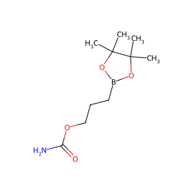 CC1(C)OB(CCCOC(N)=O)OC1(C)C